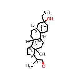 CC[C@]1(O)CC[C@@]2(C)[C@@H](CC[C@@H]3[C@@H]2CC[C@]2(C)[C@@H]([C@H](C)C=O)CC[C@@H]32)C1